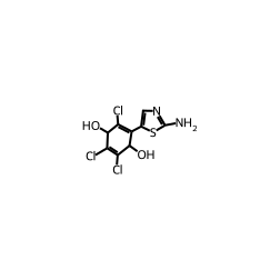 Nc1ncc(C2=C(Cl)C(O)C(Cl)=C(Cl)C2O)s1